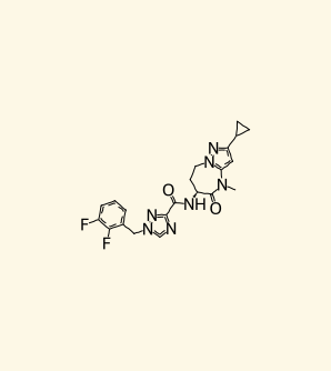 CN1C(=O)[C@@H](NC(=O)c2ncn(Cc3cccc(F)c3F)n2)CCn2nc(C3CC3)cc21